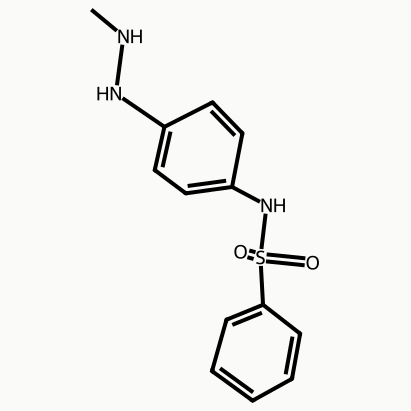 CNNc1ccc(NS(=O)(=O)c2ccccc2)cc1